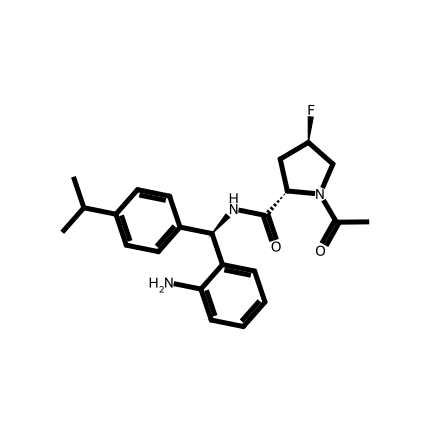 CC(=O)N1C[C@H](F)C[C@H]1C(=O)N[C@H](c1ccc(C(C)C)cc1)c1ccccc1N